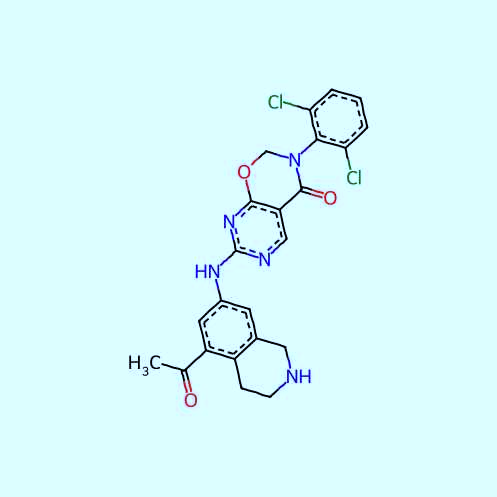 CC(=O)c1cc(Nc2ncc3c(n2)OCN(c2c(Cl)cccc2Cl)C3=O)cc2c1CCNC2